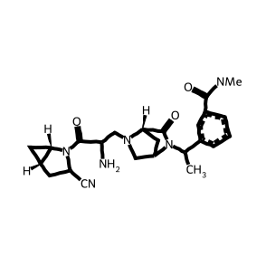 CNC(=O)c1cccc(C(C)N2C(=O)[C@@H]3CC2CN3CC(N)C(=O)N2C(C#N)C[C@@H]3C[C@@H]32)c1